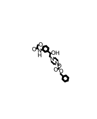 O=C1COc2ccc(C(O)CN3CCN(OC(=O)OCc4ccccc4)CC3)cc2N1